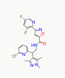 Cc1nn(C)c(C)c1C(CNC(=O)c1cc(-c2ncc(F)cc2F)no1)c1cccc(Cl)n1